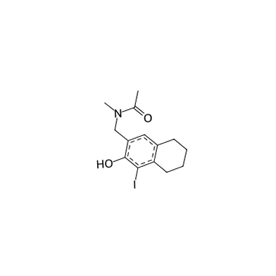 CC(=O)N(C)Cc1cc2c(c(I)c1O)CCCC2